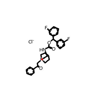 O=C(NC1C[N+]2(CC(=O)c3ccccc3)CCC1CC2)OC(c1cccc(F)c1)c1cccc(F)c1.[Cl-]